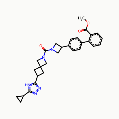 COC(=O)c1ccccc1-c1ccc(C2CN(C(=O)N3CC4(CC(c5nnc(C6CC6)[nH]5)C4)C3)C2)cc1